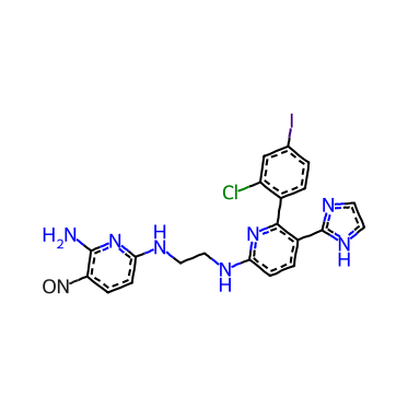 Nc1nc(NCCNc2ccc(-c3ncc[nH]3)c(-c3ccc(I)cc3Cl)n2)ccc1N=O